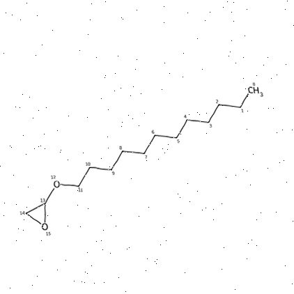 CCCCCCCCCCCCOC1CO1